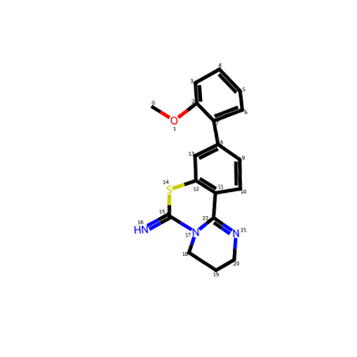 COc1ccccc1-c1ccc2c(c1)SC(=N)N1CCCN=C21